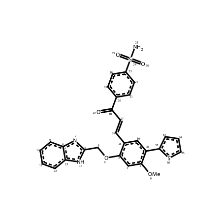 COc1cc(OCc2nc3ccccc3[nH]2)c(/C=C/C(=O)c2ccc(S(N)(=O)=O)cc2)cc1-c1cccs1